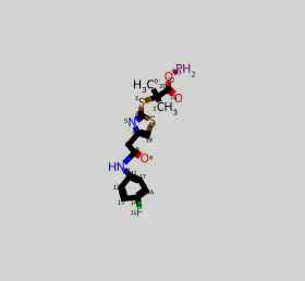 CC(C)(Sc1nc(CC(=O)Nc2ccc(F)cc2)cs1)C(=O)OP